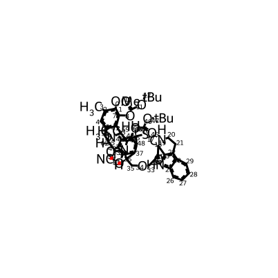 COc1c(C)cc2c(c1OC(=O)OC(C)(C)C)[C@@H]1C3[C@@H]4SC[C@]5(NCCc6c5[nH]c5ccccc65)C(=O)COC[C@@H](c5c6c(c(C)c(OC(=O)OC(C)(C)C)c54)OCO6)N3[C@@H](C#N)[C@H](C2)N1C